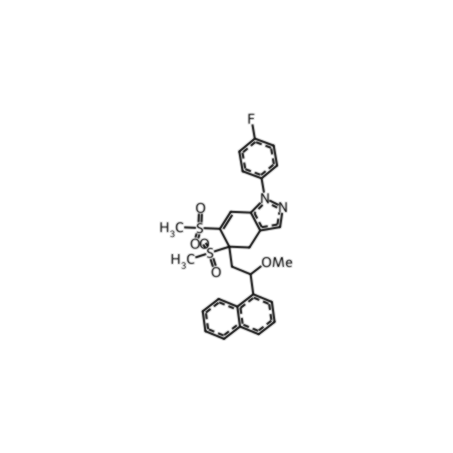 COC(CC1(S(C)(=O)=O)Cc2cnn(-c3ccc(F)cc3)c2C=C1S(C)(=O)=O)c1cccc2ccccc12